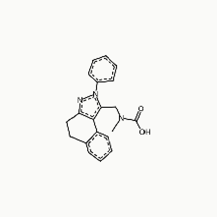 CN(Cc1c2c(nn1-c1ccccc1)CCc1ccccc1-2)C(=O)O